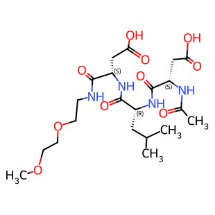 COCCOCCNC(=O)[C@H](CC(=O)O)NC(=O)[C@@H](CC(C)C)NC(=O)[C@H](CC(=O)O)NC(C)=O